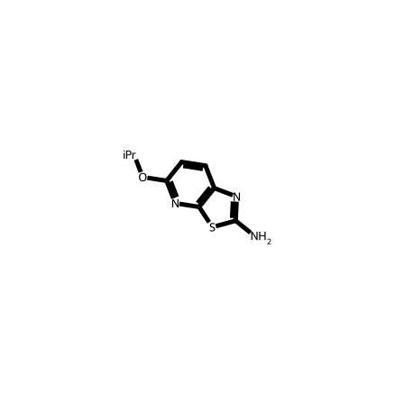 CC(C)Oc1ccc2nc(N)sc2n1